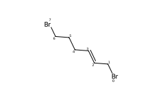 BrCC=CCCCBr